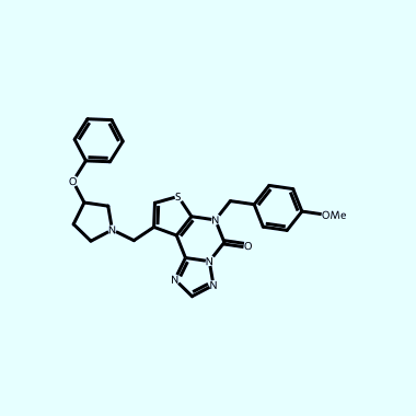 COc1ccc(Cn2c(=O)n3ncnc3c3c(CN4CCC(Oc5ccccc5)C4)csc32)cc1